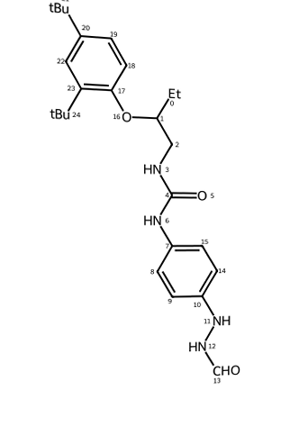 CCC(CNC(=O)Nc1ccc(NNC=O)cc1)Oc1ccc(C(C)(C)C)cc1C(C)(C)C